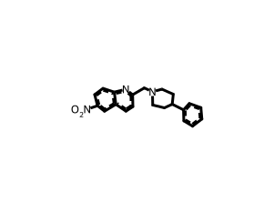 O=[N+]([O-])c1ccc2nc(CN3CCC(c4ccccc4)CC3)ccc2c1